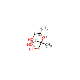 C[C@@H](CO)OC(C)(CO)CO